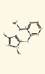 Cc1cc(Cc2ccccc2CO)n(C)n1